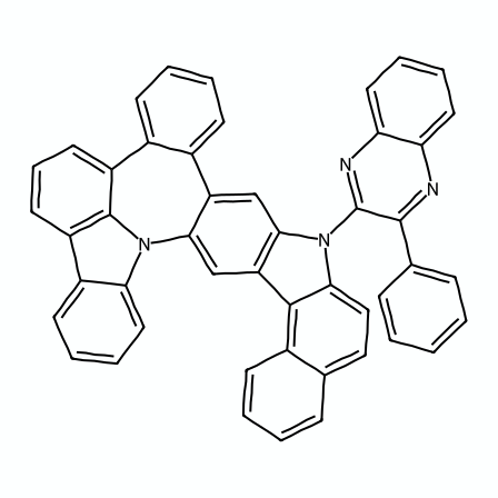 c1ccc(-c2nc3ccccc3nc2-n2c3cc4c(cc3c3c5ccccc5ccc32)-n2c3ccccc3c3cccc(c32)-c2ccccc2-4)cc1